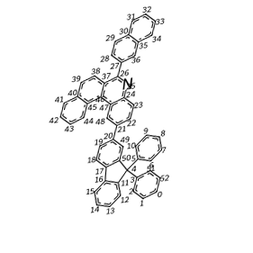 c1ccc(C2(c3ccccc3)c3ccccc3-c3ccc(-c4ccc5nc(-c6ccc7ccccc7c6)c6ccc7ccccc7c6c5c4)cc32)cc1